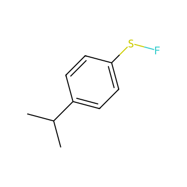 CC(C)c1ccc(SF)cc1